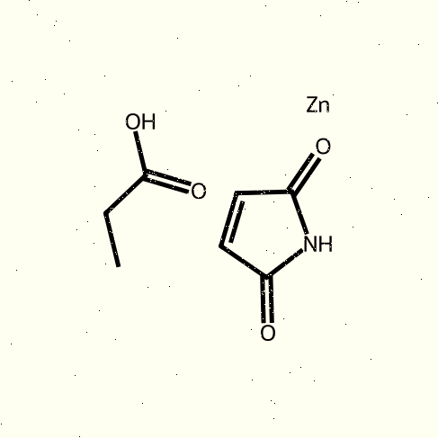 CCC(=O)O.O=C1C=CC(=O)N1.[Zn]